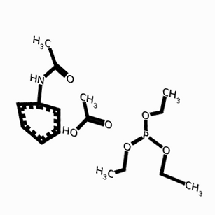 CC(=O)Nc1ccccc1.CC(=O)O.CCOP(OCC)OCC